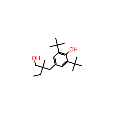 CCC(C)(CO)Cc1cc(C(C)(C)C)c(O)c(C(C)(C)C)c1